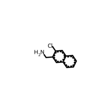 NCc1cc2ccccc2cc1Cl